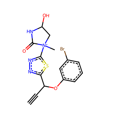 C#CC(Oc1cccc(Br)c1)c1nnc([N+]2(C)CC(O)NC2=O)s1